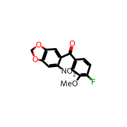 COc1cc(C(=O)c2cc3c(cc2[N+](=O)[O-])OCO3)ccc1F